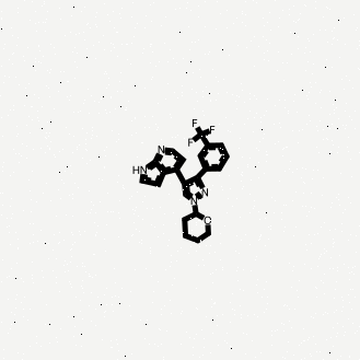 FC(F)(F)c1cccc(-c2nn(C3CCCCO3)cc2-c2ccnc3[nH]ccc23)c1